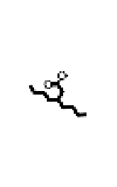 CCCCC(CCCC)CC([O])=O